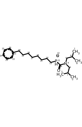 CC(C)CN(CC(C)C)C(=O)[PH](=O)CCCCCCCCc1ccccc1